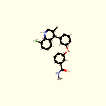 CCCNC(=O)c1cccc(Oc2cccc(-c3c(C)cnc4c(Cl)cccc34)c2)c1